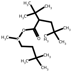 CP(CCC(C)(C)C)OC(=O)C(CC(C)(C)C)C(C)(C)C